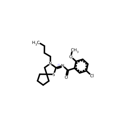 CCCCN1CC2(CCCC2)S/C1=N\C(=O)c1cc(Cl)ccc1OC